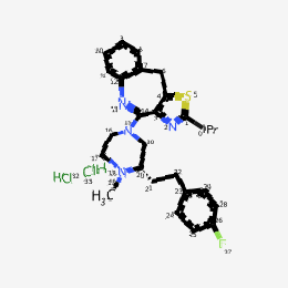 CC(C)c1nc2c(s1)Cc1ccccc1N=C2N1CCN(C)[C@@H](CCc2ccc(F)cc2)C1.Cl.Cl